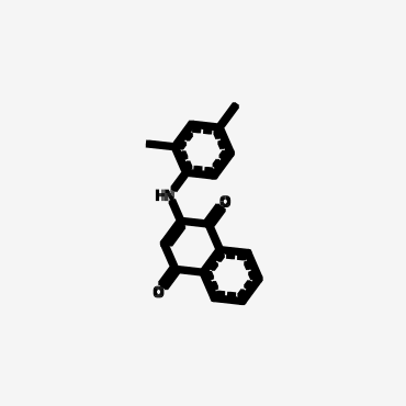 Cc1ccc(NC2=CC(=O)c3ccccc3C2=O)c(C)c1